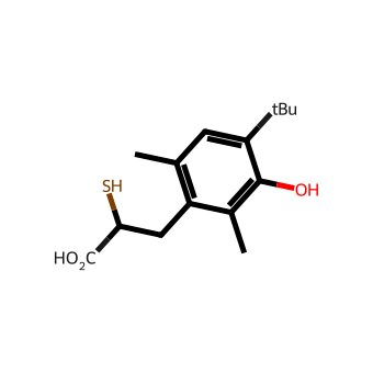 Cc1cc(C(C)(C)C)c(O)c(C)c1CC(S)C(=O)O